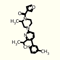 Cc1cccc(-c2ccc(N3CCN(C(=O)c4ccoc4)C(C)C3)nc2C(C)C)c1